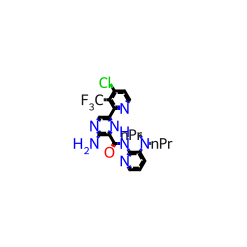 CCCN(CCC)c1cccnc1NC(=O)c1nc(-c2nccc(Cl)c2C(F)(F)F)cnc1N